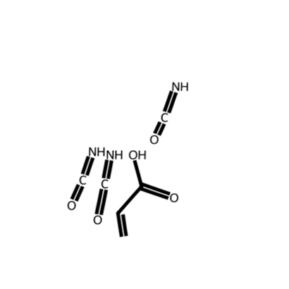 C=CC(=O)O.N=C=O.N=C=O.N=C=O